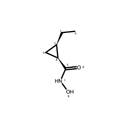 CC[C@@H]1C[C@@H]1C(=O)NO